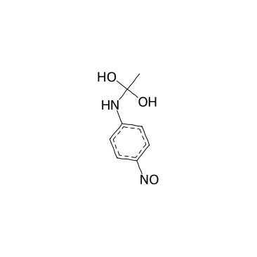 CC(O)(O)Nc1ccc(N=O)cc1